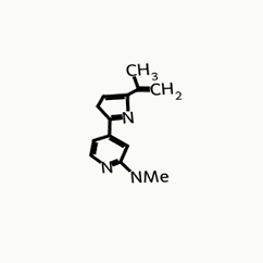 C=C(C)C1=CCC(c2ccnc(NC)c2)=N1